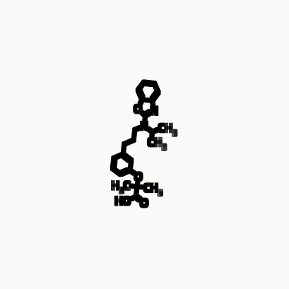 CC(C)N(CCCc1cccc(OC(C)(C)C(=O)O)c1)c1nc2ccccc2o1